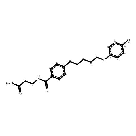 COC(=O)CCNC(=O)c1ccc(CCCCCOc2ccc(Cl)nc2)cc1